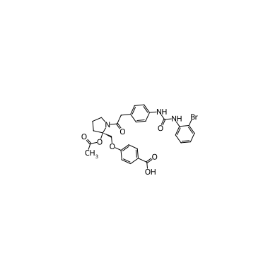 CC(=O)O[C@]1(COc2ccc(C(=O)O)cc2)CCCN1C(=O)Cc1ccc(NC(=O)Nc2ccccc2Br)cc1